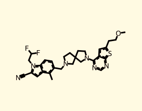 COCCc1cc2c(N3CCC4(CCN(Cc5ccc6c(cc(C#N)n6CC(F)F)c5C)C4)C3)ncnc2s1